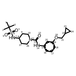 CC(C)(C)S(=O)(=O)NC1CCN(C(=O)Nc2cccc(OCC3CC3)c2)CC1